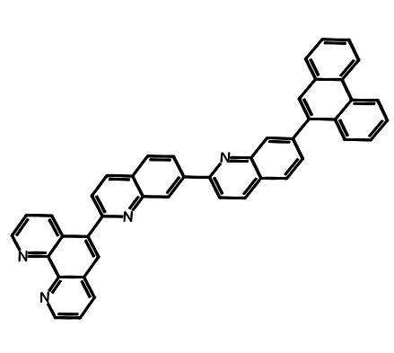 c1ccc2c(c1)cc(-c1ccc3ccc(-c4ccc5ccc(-c6cc7cccnc7c7ncccc67)nc5c4)nc3c1)c1ccccc12